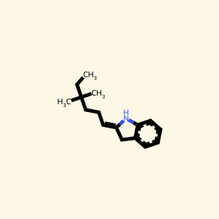 CCC(C)(C)CCC=C1Cc2ccccc2N1